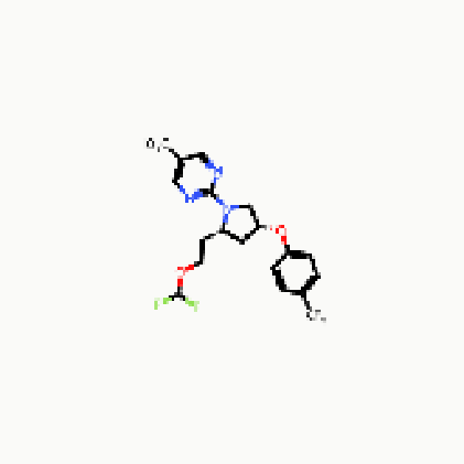 O=C(O)c1cnc(N2C[C@H](Oc3ccc(C(F)(F)F)cc3)C[C@H]2CCOC(F)F)nc1